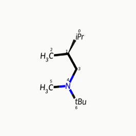 CC(C)[C@H](C)CN(C)C(C)(C)C